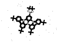 CC(C)(C)c1ccc2c(c1)c1cc(C(C)(C)C)cc3c1n2-c1cc(B2OC(C)(C)C(C)(C)O2)cc2c1B3c1cc(C(C)(C)C)cc3c4cc(C(C)(C)C)ccc4n-2c13